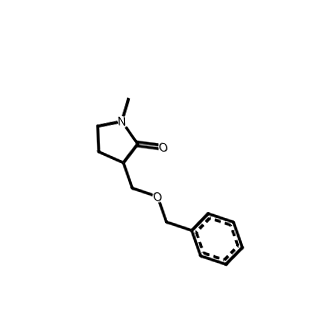 CN1CCC(COCc2ccccc2)C1=O